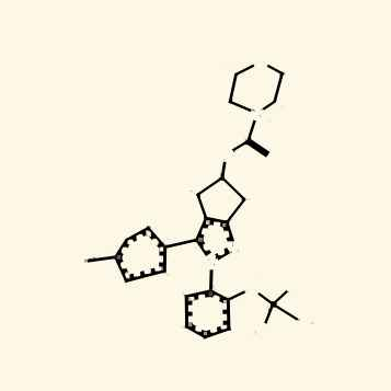 O=C(OC1Cc2nn(-c3ccccc3OC(F)(F)F)c(-c3ccc(Cl)cc3)c2C1)N1CCOCC1